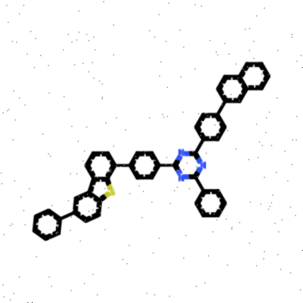 c1ccc(-c2ccc3sc4c(-c5ccc(-c6nc(-c7ccccc7)nc(-c7ccc(-c8ccc9ccccc9c8)cc7)n6)cc5)cccc4c3c2)cc1